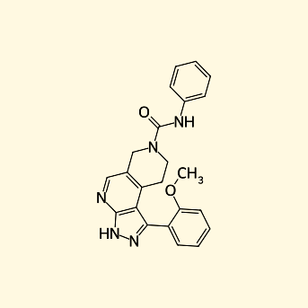 COc1ccccc1-c1n[nH]c2ncc3c(c12)CCN(C(=O)Nc1ccccc1)C3